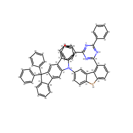 c1ccc(-c2nc(-c3ccccc3)nc(-c3cccc4sc5ccc(-n6c7ccccc7c7cc8c(cc76)-c6ccccc6C8(c6ccccc6)c6ccccc6)cc5c34)n2)cc1